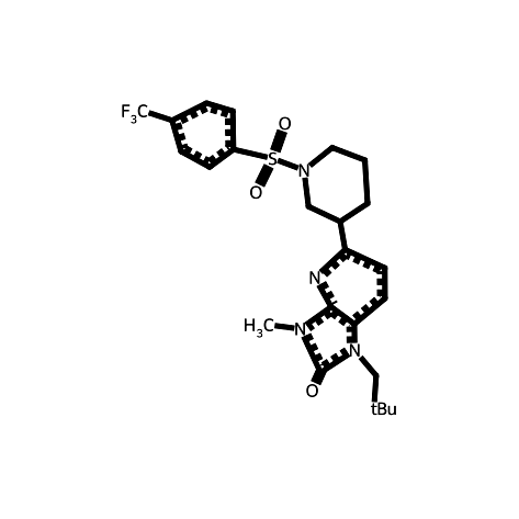 Cn1c(=O)n(CC(C)(C)C)c2ccc(C3CCCN(S(=O)(=O)c4ccc(C(F)(F)F)cc4)C3)nc21